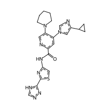 O=C(Nc1csc(-c2nnc[nH]2)n1)c1cc(-n2cnc(C3CC3)c2)c(N2CCCCC2)cn1